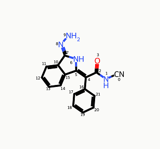 N#CNC(=O)C(=C1NC(=NN)c2ccccc21)c1ccccc1